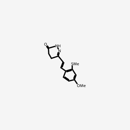 COc1ccc(C=CC2=NNC(=O)CC2)c(SC)c1